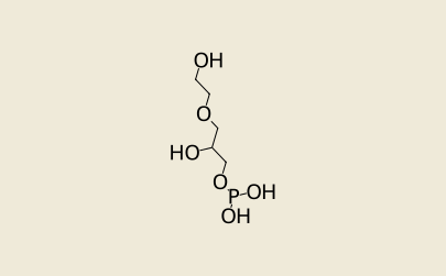 OCCOCC(O)COP(O)O